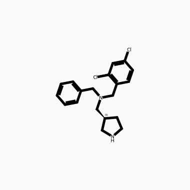 Clc1ccc(CN(Cc2ccccc2)C[C@H]2CCNC2)c(Cl)c1